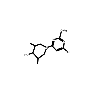 COc1nc(Cl)cc(N2CC(C)C(O)C(C)C2)n1